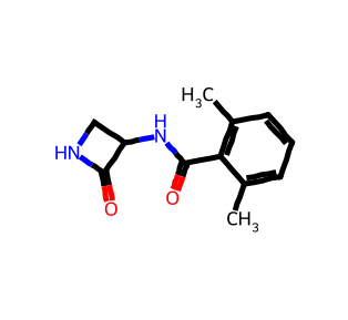 Cc1cccc(C)c1C(=O)NC1CNC1=O